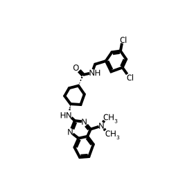 CN(C)c1nc(N[C@H]2CC[C@@H](C(=O)NCc3cc(Cl)cc(Cl)c3)CC2)nc2ccccc12